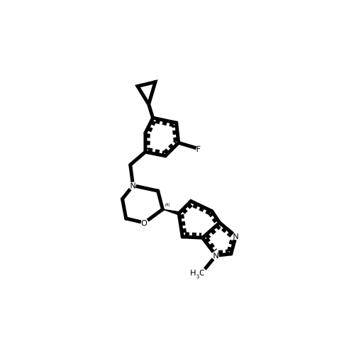 Cn1cnc2ccc([C@@H]3CN(Cc4cc(F)cc(C5CC5)c4)CCO3)cc21